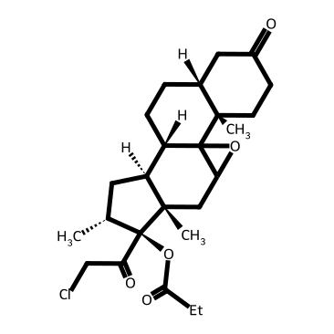 CCC(=O)O[C@@]1(C(=O)CCl)[C@H](C)C[C@H]2[C@@H]3CC[C@@H]4CC(=O)CC[C@]4(C)C34OC4C[C@@]21C